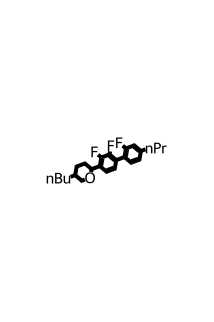 CCCCC1CCC(c2ccc(-c3ccc(CCC)cc3F)c(F)c2F)OC1